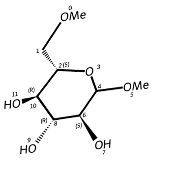 COC[C@@H]1OC(OC)[C@@H](O)[C@H](O)[C@H]1O